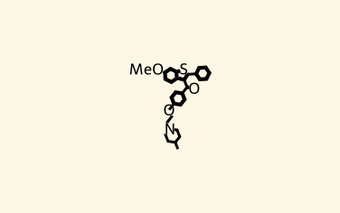 COc1ccc2c(C(=O)c3ccc(OCCN4CCC(C)CC4)cc3)c(-c3ccccc3)sc2c1